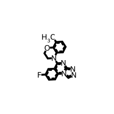 Cc1cccc2c1OCCN2c1nc2nncn2c2ccc(F)cc12